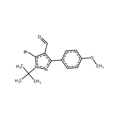 COc1ccc(-c2nn(C(C)(C)C)c(Br)c2C=O)cc1